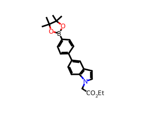 CCOC(=O)Cn1ccc2cc(-c3ccc(B4OC(C)(C)C(C)(C)O4)cc3)ccc21